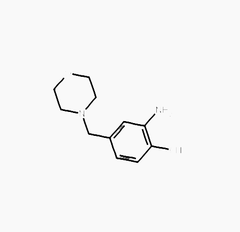 Cc1ccc(CN2CCOCC2)cc1N